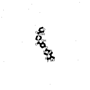 O=C(c1ccc(Oc2nccn3c(-c4conc4C(F)(F)F)cnc23)cc1O)N1CCN(C(=O)C2(O)CCCOC2)CC1